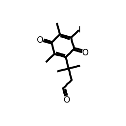 CC1=C(I)C(=O)C(C(C)(C)CC=O)=C(C)C1=O